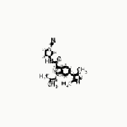 Cc1noc(C)c1-c1ccc2c(C(=O)NC3CCN(C#N)C3)nn(CC(C)C)c2c1